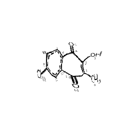 CC1=C(O)C(=O)c2ccc(Cl)cc2C1=O